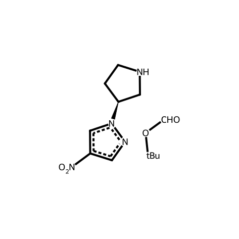 CC(C)(C)OC=O.O=[N+]([O-])c1cnn([C@H]2CCNC2)c1